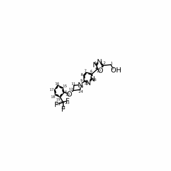 OCc1nnc(-c2ccc(N3CC(Oc4ccccc4C(F)(F)F)C3)nn2)o1